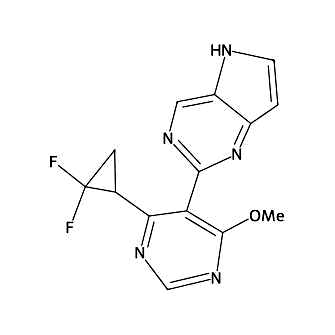 COc1ncnc(C2CC2(F)F)c1-c1ncc2[nH]ccc2n1